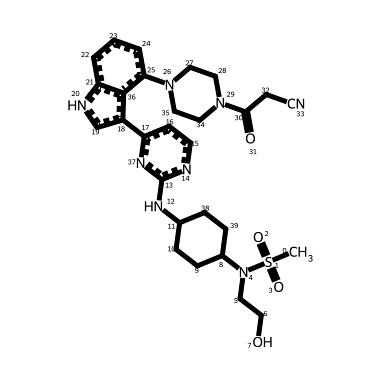 CS(=O)(=O)N(CCO)C1CCC(Nc2nccc(-c3c[nH]c4cccc(N5CCN(C(=O)CC#N)CC5)c34)n2)CC1